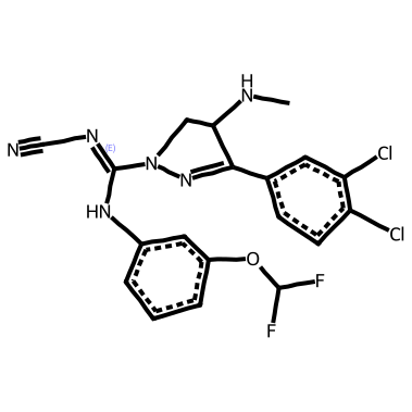 CNC1CN(/C(=N/C#N)Nc2cccc(OC(F)F)c2)N=C1c1ccc(Cl)c(Cl)c1